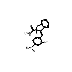 CCN(CC)c1ccc(C=C2c3ccccc3SC2(N)C(=O)NN)c(O)c1